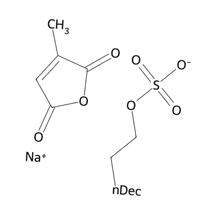 CC1=CC(=O)OC1=O.CCCCCCCCCCCCOS(=O)(=O)[O-].[Na+]